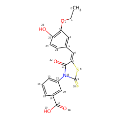 CCOc1cc(C=C2SC(=S)N(c3cccc(C(=O)O)c3)C2=O)ccc1O